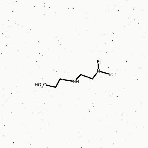 CCN(CC)CCNCCC(=O)O